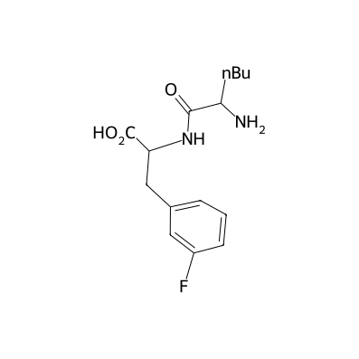 CCCCC(N)C(=O)NC(Cc1cccc(F)c1)C(=O)O